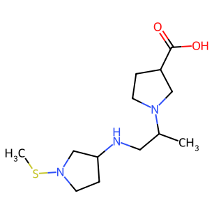 CSN1CCC(NCC(C)N2CCC(C(=O)O)C2)C1